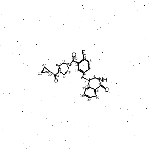 O=C1NCN(Cc2ccc(F)c(C(=O)N3CCN(C(=O)C4CC4)CC3)c2)c2ccccc21